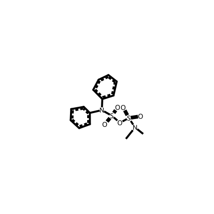 CN(C)S(=O)(=O)OS(=O)(=O)N(c1ccccc1)c1ccccc1